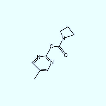 Cc1cnc(OC(=O)N2CCC2)nc1